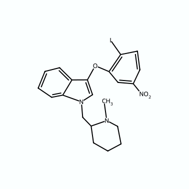 CN1CCCCC1Cn1cc(Oc2cc([N+](=O)[O-])ccc2I)c2ccccc21